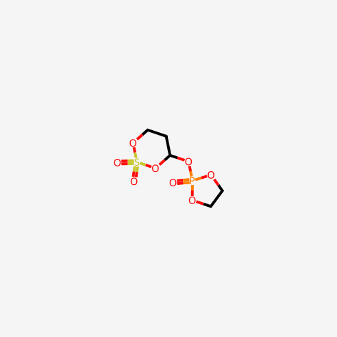 O=P1(OC2CCOS(=O)(=O)O2)OCCO1